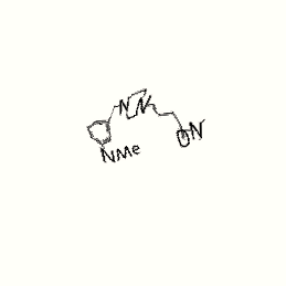 CNc1cccc(CN2CCN(CCCC(=O)N(C)C)CC2)c1